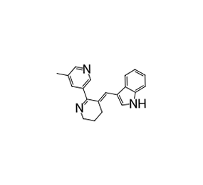 Cc1cncc(C2=NCCCC2=Cc2c[nH]c3ccccc23)c1